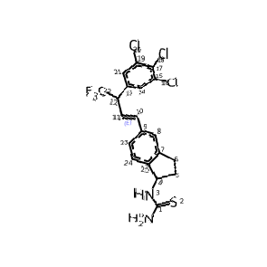 NC(=S)NC1CCc2cc(/C=C/C(c3cc(Cl)c(Cl)c(Cl)c3)C(F)(F)F)ccc21